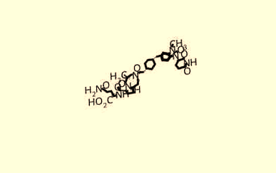 C[C@H]1CN(C(=O)C[C@H]2CC[C@@H](Cc3ccc4c(c3)n(C)c(=O)n4C3CCC(=O)NC3=O)CC2)CC[C@H]2CC[C@@H](C(=O)N[C@@H](CCC(N)=O)C(=O)O)N2C1=O